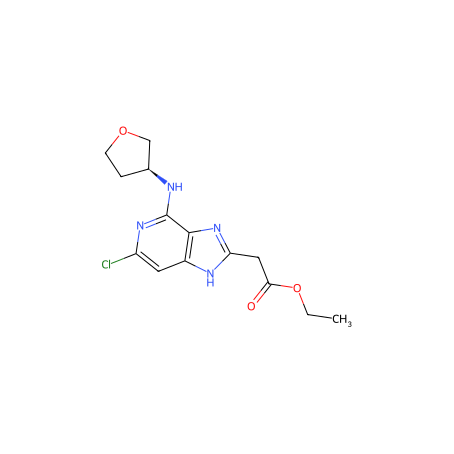 CCOC(=O)Cc1nc2c(N[C@H]3CCOC3)nc(Cl)cc2[nH]1